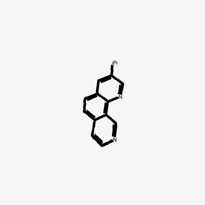 CC(C)c1cnc2c(ccc3ccncc32)c1